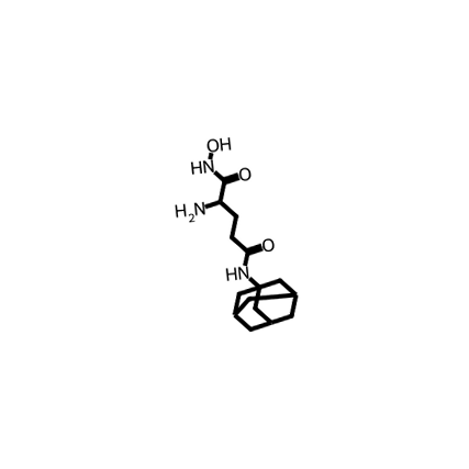 NC(CCC(=O)NC12CC3CC(CC(C3)C1)C2)C(=O)NO